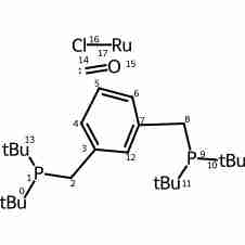 CC(C)(C)P(Cc1cccc(CP(C(C)(C)C)C(C)(C)C)c1)C(C)(C)C.[C]=O.[Cl][Ru]